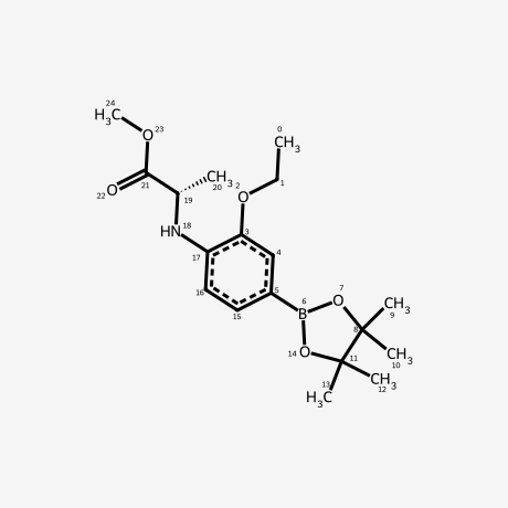 CCOc1cc(B2OC(C)(C)C(C)(C)O2)ccc1N[C@@H](C)C(=O)OC